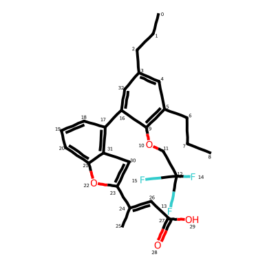 CCCc1cc(CCC)c(OCC(F)(F)F)c(-c2cccc3oc(C(C)=CC(=O)O)cc23)c1